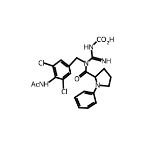 CC(=O)Nc1c(Cl)cc(CN(C(=N)NC(=O)O)C(=O)C2CCCN2c2ccccc2)cc1Cl